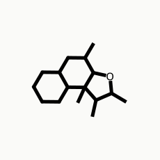 CC1CC2CCCCC2C2(C)C(C)C(C)OC12